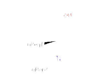 CCCCCN1CCC[C@]1(CO)CCCCC